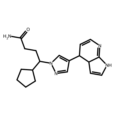 NC(=O)CCC(C1CCCC1)n1cc(C2C=CN=C3NC=CC32)cn1